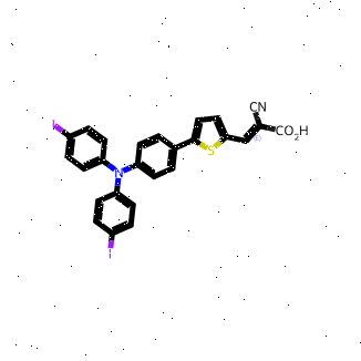 N#C/C(=C\c1ccc(-c2ccc(N(c3ccc(I)cc3)c3ccc(I)cc3)cc2)s1)C(=O)O